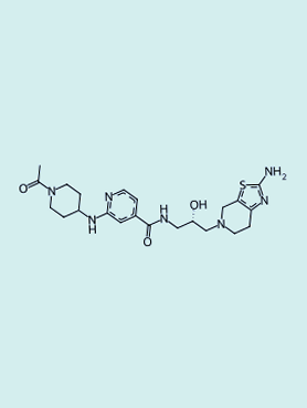 CC(=O)N1CCC(Nc2cc(C(=O)NC[C@H](O)CN3CCc4nc(N)sc4C3)ccn2)CC1